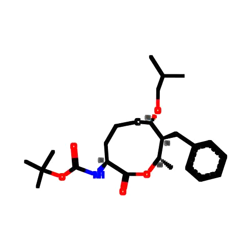 CC(C)CO[C@H]1CCC[C@H](NC(=O)OC(C)(C)C)C(=O)O[C@@H](C)[C@@H]1Cc1ccccc1